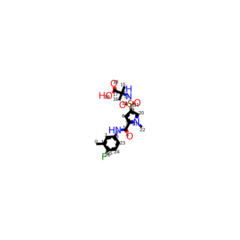 Cc1cc(NC(=O)c2cc(S(=O)(=O)NC(C)(C)C(=O)O)cn2C)ccc1F